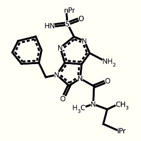 CCCS(=N)(=O)c1nc(N)c2c(n1)n(Cc1ccccc1)c(=O)n2C(=O)N(C)C(C)CC(C)C